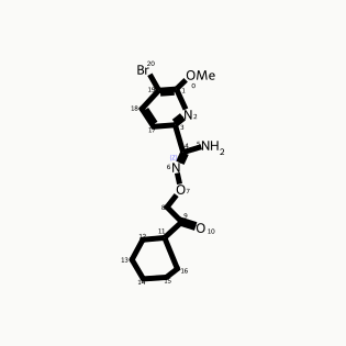 COc1nc(/C(N)=N/OCC(=O)C2CCCCC2)ccc1Br